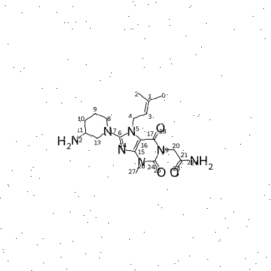 CC(C)=CCn1c(N2CCCC(N)C2)nc2c1c(=O)n(CC(N)=O)c(=O)n2C